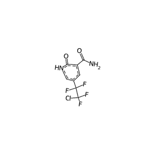 NC(=O)c1cc(C(F)(F)C(F)(F)Cl)c[nH]c1=O